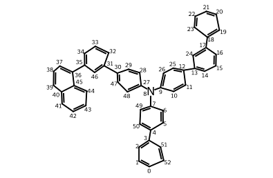 c1ccc(-c2ccc(N(c3ccc(-c4cccc(-c5ccccc5)c4)cc3)c3ccc(-c4cccc(-c5cccc6ccccc56)c4)cc3)cc2)cc1